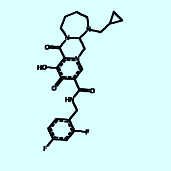 O=C(NCc1ccc(F)cc1F)c1cn2c(c(O)c1=O)C(=O)N1CCCCN(CC3CC3)C1C2